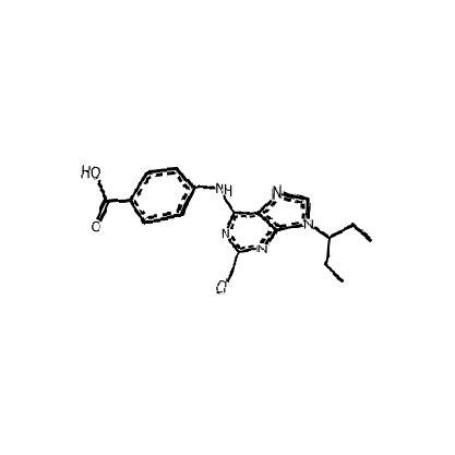 CCC(CC)n1cnc2c(Nc3ccc(C(=O)O)cc3)nc(Cl)nc21